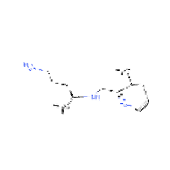 Cc1cccnc1CNC(C)CCCN